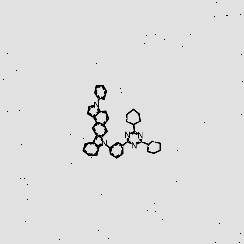 c1ccc(-n2ccc3c4cc5c6ccccc6n(-c6cccc(-c7nc(C8CCCCC8)nc(C8CCCCC8)n7)c6)c5cc4ccc32)cc1